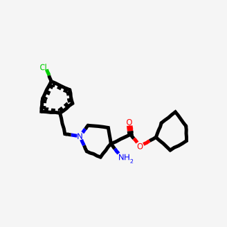 NC1(C(=O)OC2CCCCC2)CCN(Cc2ccc(Cl)cc2)CC1